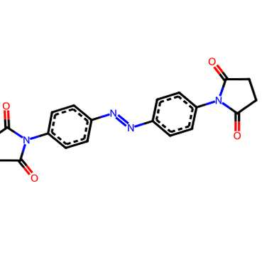 O=C1CCC(=O)N1c1ccc(N=Nc2ccc(N3C(=O)CCC3=O)cc2)cc1